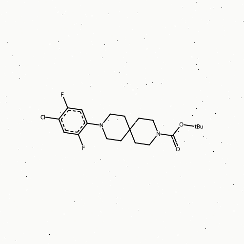 CC(C)(C)OC(=O)N1CCC2(CC1)CCN(c1cc(F)c(Cl)cc1F)CC2